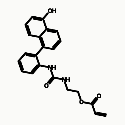 C=CC(=O)OCCNC(=O)Nc1ccccc1-c1cccc2c(O)cccc12